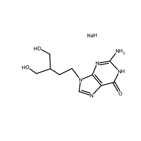 Nc1nc2c(ncn2CCC(CO)CO)c(=O)[nH]1.[NaH]